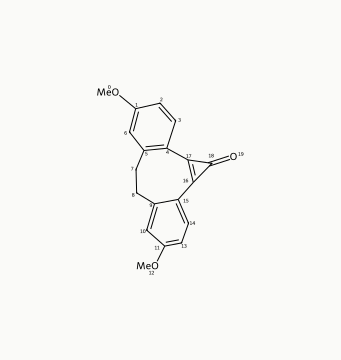 COc1ccc2c(c1)CCc1cc(OC)ccc1-c1c-2c1=O